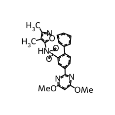 COc1cc(OC)nc(-c2ccc(-c3ccccc3)c(S(=O)(=O)Nc3onc(C)c3C)c2)n1